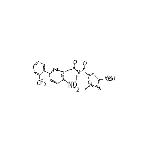 Cn1nc(C(C)(C)C)cc1C(=O)NC(=O)c1nc(-c2ccccc2C(F)(F)F)ccc1[N+](=O)[O-]